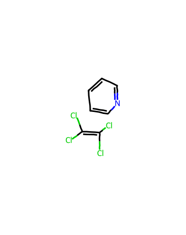 ClC(Cl)=C(Cl)Cl.c1ccncc1